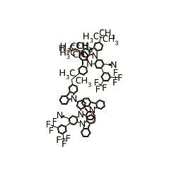 CC(C)(C)c1ccc2c(c1)c1cc(C(C)(C)C)ccc1n2-c1cc(C#N)c(-c2cc(C(F)(F)F)cc(C(F)(F)F)c2)cc1-n1c2ccc(C(C)(C)C)cc2c2cc(C(C)(C)Cc3ccc4c(c3)c3ccccc3n4-c3ccc4c5ccccc5n(-c5cc(C#N)c(-c6cc(C(F)(F)F)cc(C(F)(F)F)c6)cc5-n5c6ccccc6c6ccc(-n7c8ccccc8c8ccccc87)cc65)c4c3)ccc21